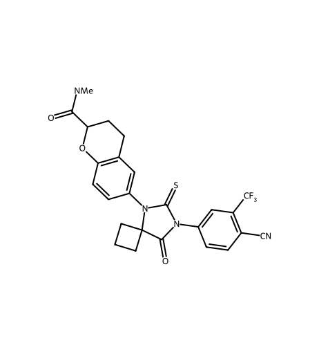 CNC(=O)C1CCc2cc(N3C(=S)N(c4ccc(C#N)c(C(F)(F)F)c4)C(=O)C34CCC4)ccc2O1